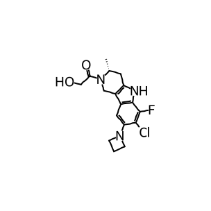 C[C@@H]1Cc2[nH]c3c(F)c(Cl)c(N4CCC4)cc3c2CN1C(=O)CO